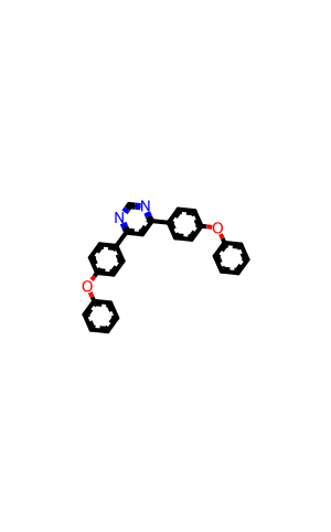 c1ccc(Oc2ccc(-c3cc(-c4ccc(Oc5ccccc5)cc4)ncn3)cc2)cc1